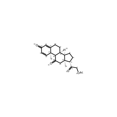 CC(=O)OCC(=O)[C@H]1CCC2[C@@H]3CCC4=CC(=O)C=C[C@]4(C)C3C(=O)C[C@@]21C